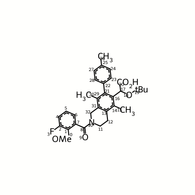 COc1c(F)cccc1C(=O)N1CCc2c(C)c(C(OC(C)(C)C)C(=O)O)c(-c3ccc(C)cc3)c(C)c2C1